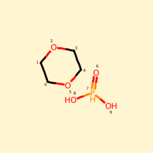 C1COCCO1.O=[PH](O)O